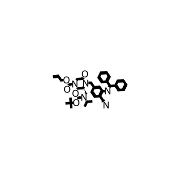 C=CCOC(=O)N1CC(=O)N(Cc2ccc(C#N)c(N=C(c3ccccc3)c3ccccc3)c2)[C@H](CN(C(=O)OC(C)(C)C)C(C)C)C1